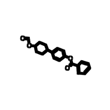 O=COC1CCC(c2ccc(OC(=O)c3ccccc3)cc2)CC1